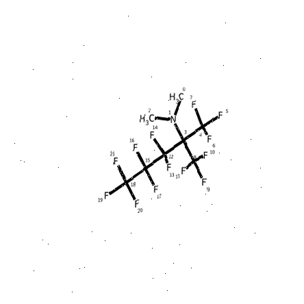 CN(C)C(C(F)(F)F)(C(F)(F)F)C(F)(F)C(F)(F)C(F)(F)F